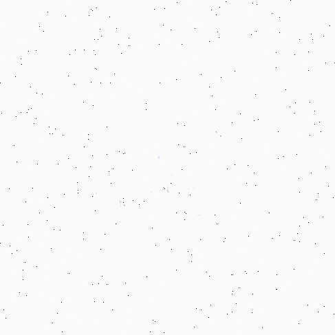 CCCCCCN1c2ccccc2CCc2cc(/C=c3/s/c(=C4/SC(=S)N(CC)C4=O)n(CC(=O)O)c3=O)ccc21